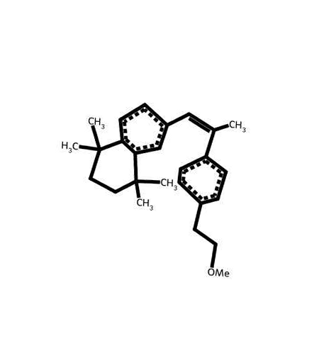 COCCc1ccc(C(C)=Cc2ccc3c(c2)C(C)(C)CCC3(C)C)cc1